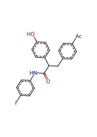 CC(=O)c1ccc(CC(C(=O)Nc2ccc(I)cc2)c2ccc(O)cc2)cc1